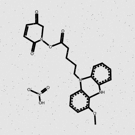 COc1cccc2c1Nc1ccccc1N2CCCCC(=O)ON1CC(=O)C=CC1=O.O=[N+]([O-])O